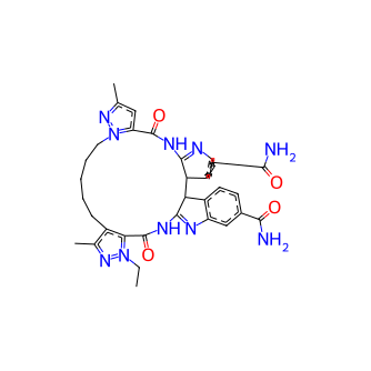 CCn1nc(C)c2c1C(=O)NC1=Nc3cc(C(N)=O)ccc3C1C1C(=Nc3cc(C(N)=O)ccc31)NC(=O)c1cc(C)nn1CCCCC2